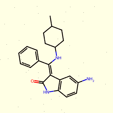 CC1CCC(NC(=C2C(=O)Nc3ccc(N)cc32)c2ccccc2)CC1